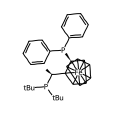 C[C@H](P(C(C)(C)C)C(C)(C)C)[C]12[CH]3[CH]4[CH]5[C@]1(P(c1ccccc1)c1ccccc1)[Fe]43521678[CH]2[CH]1[CH]6[CH]7[CH]28